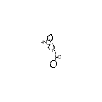 O=C(CCN1CCC2(CC1)CNc1ccccc12)C1CCCCCC1